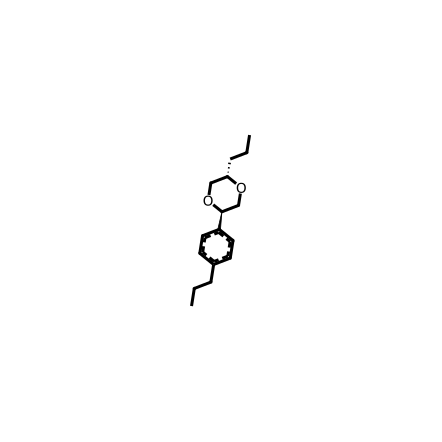 CCCc1ccc([C@@H]2CO[C@@H](CCC)CO2)cc1